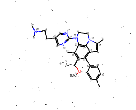 Cc1ccc(-c2c([C@H](OC(C)(C)C)C(=O)O)c(C)c3c4c2cc(C)n4CCN3c2ncc(CCN(C)C)cn2)cc1